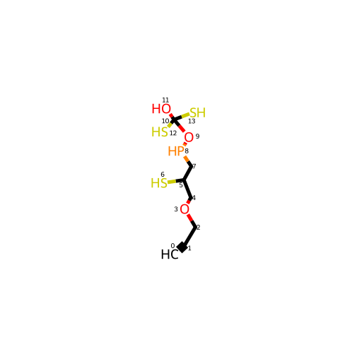 C#CCOCC(S)CPOC(O)(S)S